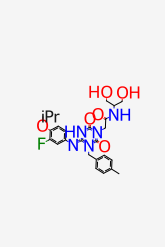 Cc1ccc(Cn2c(=O)n(CC(=O)NC(CO)CO)c(=O)[nH]/c2=N\c2ccc(OC(C)C)c(F)c2)cc1